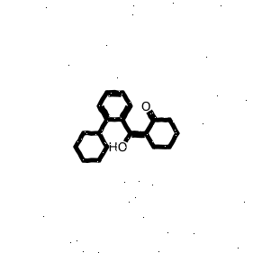 O=C1CCCCC1=C(O)c1ccccc1C1CCCCC1